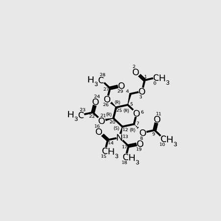 CC(=O)OC[C@H]1O[C@H](OC(C)=O)[C@@H](N(C(C)=O)C(C)=O)[C@@H](OC(C)=O)[C@H]1OC(C)=O